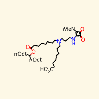 CCCCCCCCC(CCCCCCCC)OC(=O)CCCCCCCN(CCCCCCCC(=O)O)CCCNc1c(NC)c(=O)c1=O